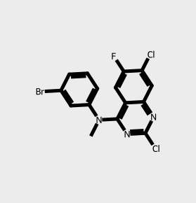 CN(c1cccc(Br)c1)c1nc(Cl)nc2cc(Cl)c(F)cc12